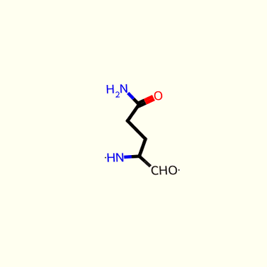 [NH]C([C]=O)CCC(N)=O